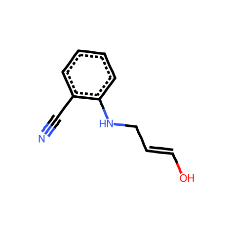 N#Cc1ccccc1NCC=CO